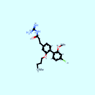 COCCCOc1cc(CCC(=O)NC(=N)N)ccc1-c1ccc(F)cc1OC(C)C